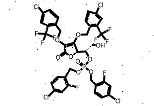 O=C1O[C@H]([C@H](CO)OP(=O)(OCc2ccc(Cl)cc2F)OCc2ccc(Cl)cc2F)C(OCc2ccc(Cl)cc2C(F)(F)F)=C1OCc1ccc(Cl)cc1C(F)(F)F